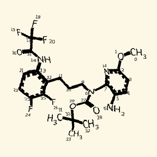 COc1ccc(N)c(N(CCCc2c(NC(=O)C(F)(F)F)ccc(F)c2F)C(=O)OC(C)(C)C)n1